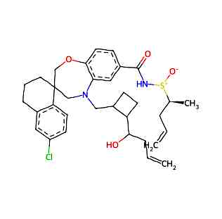 C=CCC(O)C1CCC1CN1CC2(CCCc3cc(Cl)ccc32)COc2ccc(C(=O)N[S+]([O-])[C@@H](C)CC=C)cc21